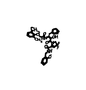 Cc1cccc(C)c1OCC(=O)N[C@@H](Cc1ccccc1)[C@H](O)C(=O)N1CC(F)(F)C[C@H]1C(=O)NCc1ccccc1Cl